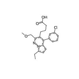 CCc1ccc2c(-c3cccc(Cl)c3)c(CCCC(=O)O)c(COC)nn12